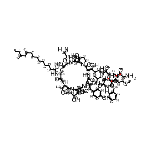 CC[C@H](C)C[C@H](C)CCCCCCCCC(=O)N[C@H]1C[C@@H](O)[C@@H](OCCN)NC(=O)[C@@H]2[C@@H](O)CCN2C(=O)[C@H]([C@H](O)CCNC(=O)[C@H](CCCCN)NC(=O)[C@H](Cc2ccccc2)NC(=O)[C@H](CC(C)C)NC(=O)[C@H](CCSC)NC=O)NC(=O)[C@H]([C@H](O)[C@@H](O)c2ccc(O)cc2)NC(=O)[C@@H]2C[C@@H](O)CN2C(=O)[C@H]([C@@H](C)O)NC1=O